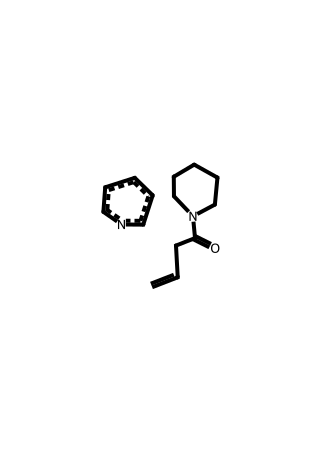 C=CCC(=O)N1CCCCC1.c1ccncc1